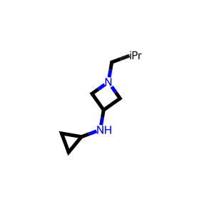 CC(C)CN1CC(NC2CC2)C1